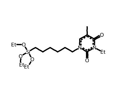 CCO[Si](CCCCCCn1cc(C)c(=O)n(CC)c1=O)(OCC)OCC